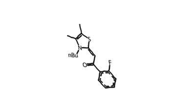 CCCCN1C(=CC(=O)c2ccccc2F)SC(C)=C1C